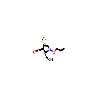 C=CCON1C[C@@H](SC(C)=O)C(=C=O)[C@H]1CC#N